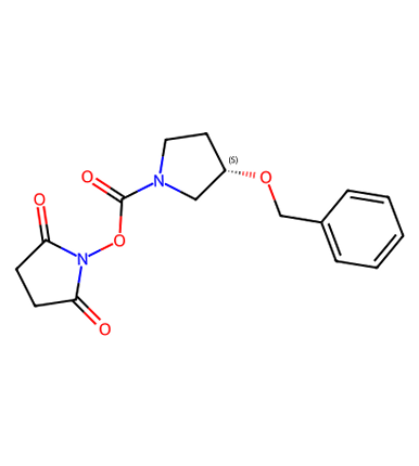 O=C(ON1C(=O)CCC1=O)N1CC[C@H](OCc2ccccc2)C1